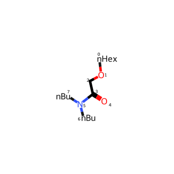 CCCCCCOCC(=O)N(CCCC)CCCC